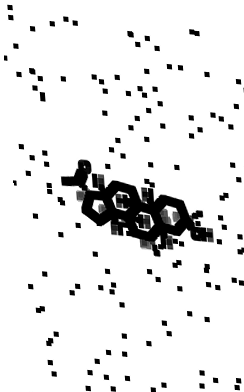 CC(=O)[C@H]1CC[C@H]2[C@@H]3C[C@@H](C)[C@H]4C[C@](C)(O)CC[C@@H]4[C@H]3CC[C@@H]21